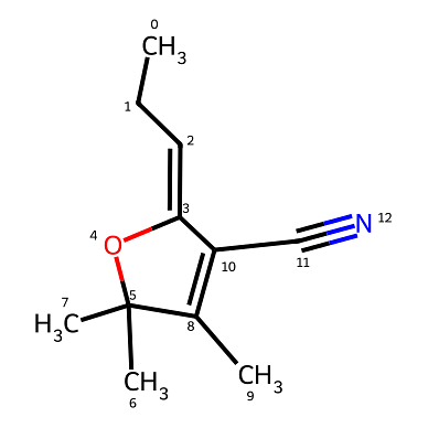 CCC=C1OC(C)(C)C(C)=C1C#N